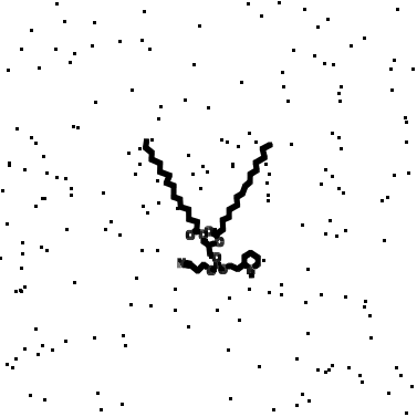 CCCCCCCCCCCCCCCC(=O)OCC(COP(OCCC#N)OCCC1CCCCN1C)OC(=O)CCCCCCCCCCCCCCC